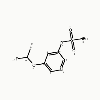 CCC(C)S(=O)(=O)Nc1cncc(OC(F)F)c1